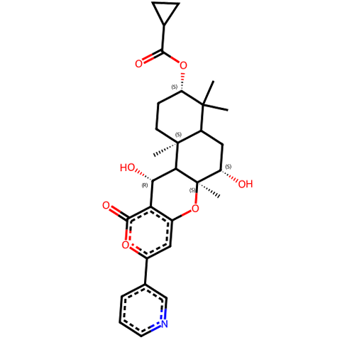 CC1(C)C2C[C@H](O)[C@@]3(C)Oc4cc(-c5cccnc5)oc(=O)c4[C@H](O)C3[C@@]2(C)CC[C@@H]1OC(=O)C1CC1